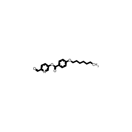 CCCCCCCOc1ccc(C(=O)Oc2ccc(C=O)nc2)cc1